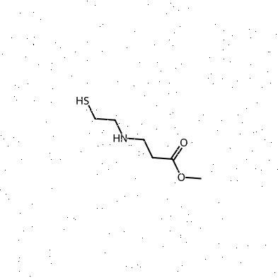 COC(=O)CCNCCS